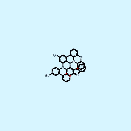 Cc1cc2c3c(c1)N(c1ccc(C(C)(C)C)cc1-c1ccccc1)c1ccc4oc5ccccc5c4c1B3N1c3ccccc3Oc3cccc-2c31